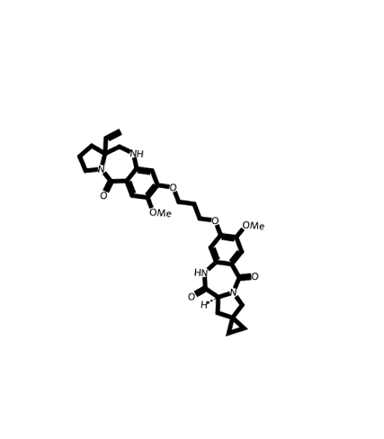 C=CC12CCCN1C(=O)c1cc(OC)c(OCCCOc3cc4c(cc3OC)C(=O)N3CC5(CC5)C[C@H]3C(=O)N4)cc1NC2